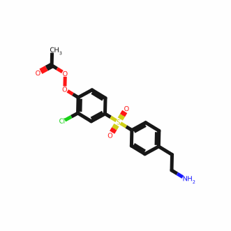 CC(=O)OOc1ccc(S(=O)(=O)c2ccc(CCN)cc2)cc1Cl